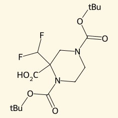 CC(C)(C)OC(=O)N1CCN(C(=O)OC(C)(C)C)C(C(=O)O)(C(F)F)C1